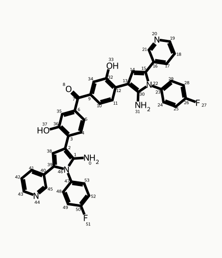 Nc1c(-c2ccc(C(=O)c3ccc(-c4cc(-c5cccnc5)n(-c5ccc(F)cc5)c4N)c(O)c3)cc2O)cc(-c2cccnc2)n1-c1ccc(F)cc1